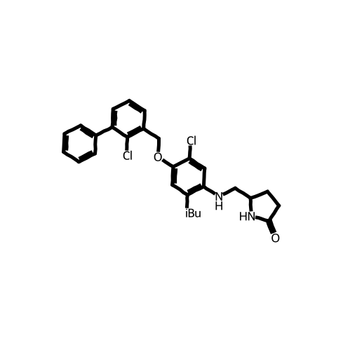 CCC(C)c1cc(OCc2cccc(-c3ccccc3)c2Cl)c(Cl)cc1NCC1CCC(=O)N1